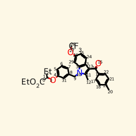 CCOC(=O)[C@@H](CC)Oc1cccc(Cn2c(C)c(C(=O)c3ccc(C)cc3)c3ccc(OC(F)(F)F)cc32)c1